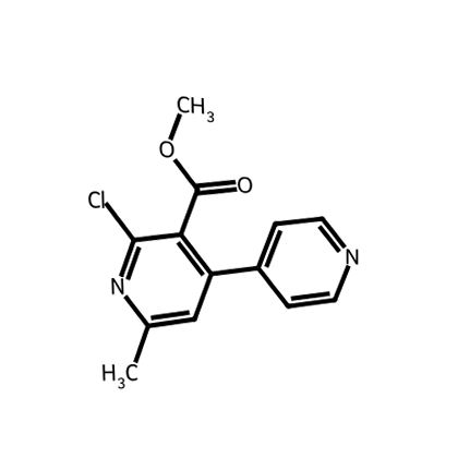 COC(=O)c1c(-c2ccncc2)cc(C)nc1Cl